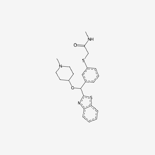 CNC(=O)CSc1cccc(C(OC2CCN(C)CC2)c2nc3ccccc3s2)c1